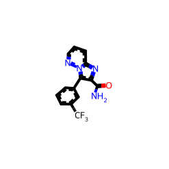 NC(=O)c1nc2cccnn2c1-c1cccc(C(F)(F)F)c1